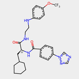 O=C(N[C@@H](CC1CCCCC1)C(=O)NCCNc1ccc(OC(F)(F)F)cc1)c1ccc(-n2cncn2)cc1